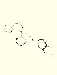 COc1cc(CNCC[C@@]2(c3ccccn3)CCOC3(CCCC3)C2)cnc1F